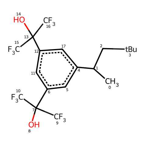 CC(CC(C)(C)C)c1cc(C(O)(C(F)(F)F)C(F)(F)F)cc(C(O)(C(F)(F)F)C(F)(F)F)c1